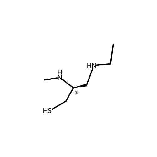 CCNC[C@@H](CS)NC